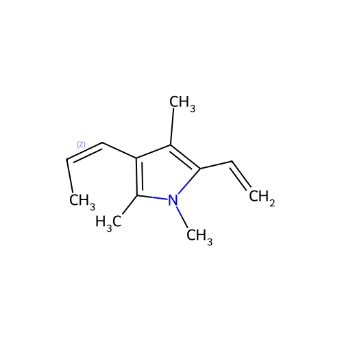 C=Cc1c(C)c(/C=C\C)c(C)n1C